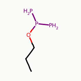 CCCOP(P)P